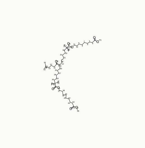 COC(=O)CCCCCCCCOC(=O)C(F)(F)CCCCCCP(CCCCCCC(F)(F)C(=O)OCCCCCCCCC(=O)OC)C(=O)CCCN(C)C